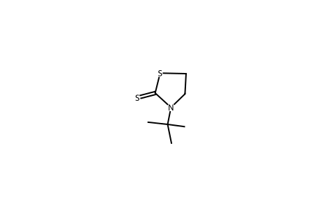 CC(C)(C)N1CCSC1=S